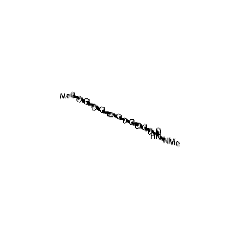 CNCCNC(=O)CCOCCOCCOCCOCCOCCOCCOCCOCCOCCOCCOCCOC